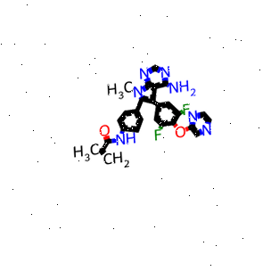 C=C(C)C(=O)Nc1ccc(-c2c(-c3cc(F)c(Oc4cnccn4)c(F)c3)c3c(N)ncnc3n2C)cc1